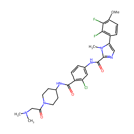 COc1ccc(-c2cnc(C(=O)Nc3ccc(C(=O)NC4CCN(C(=O)CN(C)C)CC4)c(Cl)c3)n2C)c(F)c1F